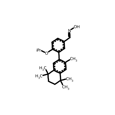 Cc1cc2c(cc1-c1cc(/C=N/O)ccc1OC(C)C)C(C)(C)CCC2(C)C